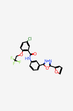 O=C(Nc1cccc(-c2nnc(-c3ccco3)o2)c1)c1cc(Cl)ccc1OCC(F)(F)F